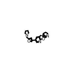 c1nc2c(cc1-c1coc(CN3CCCC3)c1)C[C@@]1(CN3CCC1CC3)O2